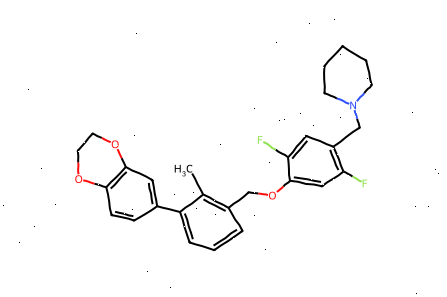 Cc1c(COc2cc(F)c(CN3CCCCC3)cc2F)cccc1-c1ccc2c(c1)OCCO2